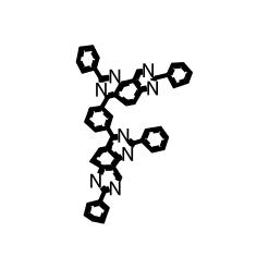 c1ccc(-c2ncc3c(ccc4c(-c5cccc(-c6nc(-c7ccccc7)nc7c6ccc6nc(-c8ccccc8)ncc67)c5)nc(-c5ccccc5)nc43)n2)cc1